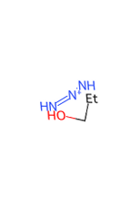 CCCO.N=[N+]=N